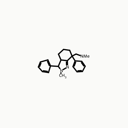 CNCC1(c2ccccc2)CCCC2C1=NN(C)C2c1ccccc1